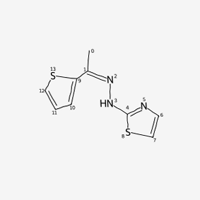 CC(=NNc1nccs1)c1cccs1